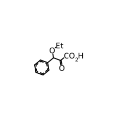 CCOC(C(=O)C(=O)O)c1ccccc1